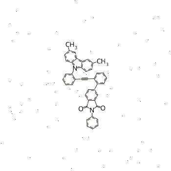 Cc1ccc2c(c1)c1cc(C)ccc1n2-c1ccccc1C#Cc1ccccc1-c1ccc2c(c1)C(=O)N(c1ccccc1)C2=O